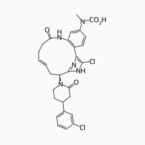 CN(C(=O)O)c1ccc2c(c1)NC(=O)CC/C=C/C[C@H](N1CCC(c3cccc(Cl)c3)CC1=O)c1nc-2c(Cl)[nH]1